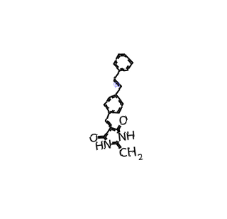 C=c1[nH]c(=O)c(=Cc2ccc(/C=C/c3ccccc3)cc2)c(=O)[nH]1